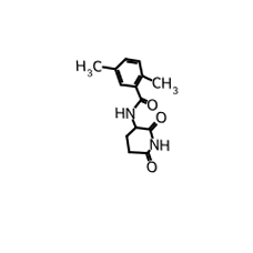 Cc1ccc(C)c(C(=O)NC2CCC(=O)NC2=O)c1